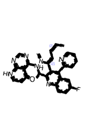 C=N/C(=C\C=C/C)c1c(C(C)Nc2ncnc3[nH]ccc(=O)c23)nc2ccc(F)cc2c1-c1ccccn1